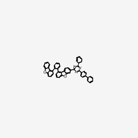 c1ccc(-c2ccc(-c3nc(-c4ccccc4)nc(-c4ccc5c(c4)oc4cccc(-c6ccccc6-c6cccc7oc8ccccc8c67)c45)n3)cc2)cc1